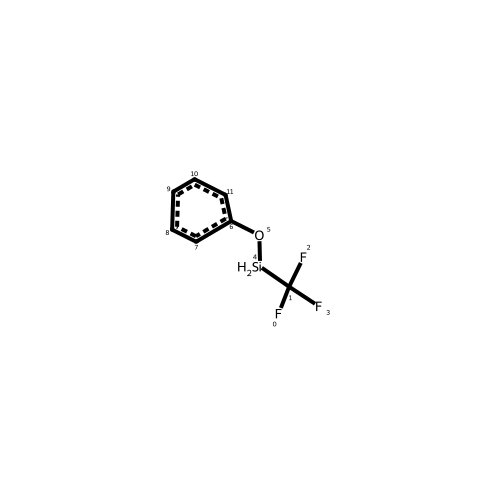 FC(F)(F)[SiH2]Oc1ccccc1